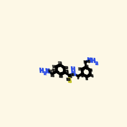 NCc1cccc(CNC(=S)c2cccc(CN)c2)c1